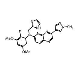 COC1=CC(OC)=C(F)C(N(Cc2ncc[nH]2)c2ccc3ncc(-c4cnn(C)c4)nc3n2)C1